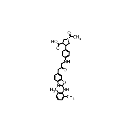 CC(=O)N1CC(C(=O)O)C(c2ccc(NCC(=O)Cc3ccc4nc(Nc5c(C)cccc5C)oc4c3)cc2)C1